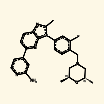 Cc1nc2ccc(-c3ccnc(N)c3)nc2n1-c1ccc(CN2C[C@H](C)O[C@@H](C)C2)c(F)c1